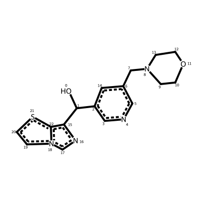 OC(c1cncc(CN2CCOCC2)c1)c1ncn2ccsc12